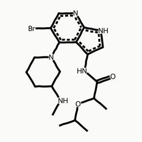 CNC1CCCN(c2c(Br)cnc3[nH]cc(NC(=O)C(C)OC(C)C)c23)C1